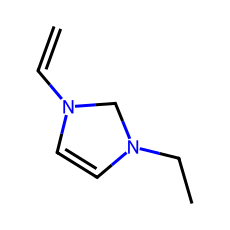 C=CN1C=CN(CC)C1